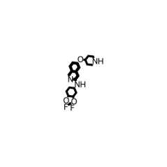 FC1(F)OC2CCC(Nc3cc4cc(OC5CCNCC5)ccc4cn3)CC2O1